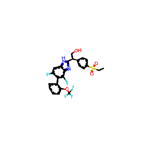 CCS(=O)(=O)c1ccc(C(CO)c2nc3c(F)c(-c4ccccc4OC(F)(F)F)c(F)cc3[nH]2)cc1